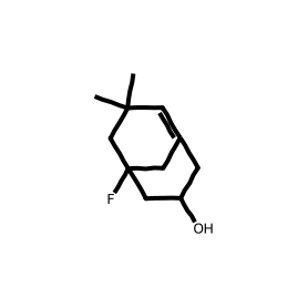 CC1(C)C=C2CC(O)CC(F)(C2)C1